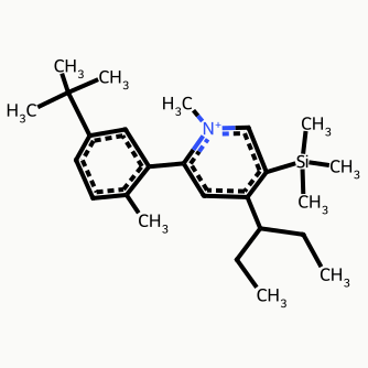 CCC(CC)c1cc(-c2cc(C(C)(C)C)ccc2C)[n+](C)cc1[Si](C)(C)C